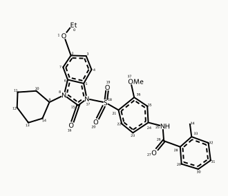 CCOc1ccc2c(c1)n(C1CCCCC1)c(=O)n2S(=O)(=O)c1ccc(NC(=O)c2ccccc2C)cc1OC